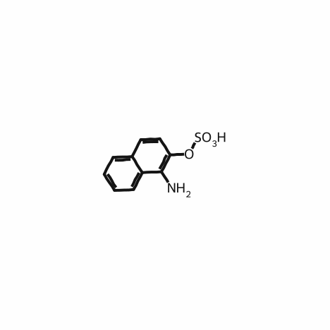 Nc1c(OS(=O)(=O)O)ccc2ccccc12